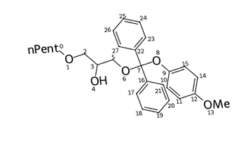 CCCCCOCC(O)COC(Oc1ccc(OC)cc1)(c1ccccc1)c1ccccc1